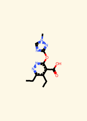 CCc1nnc(Oc2ncn(C)n2)c(C(=O)O)c1CC